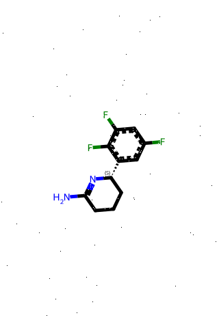 NC1=N[C@H](c2cc(F)cc(F)c2F)CCC1